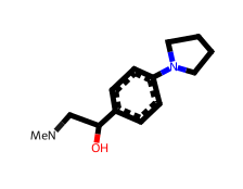 CNCC(O)c1ccc(N2CCCC2)cc1